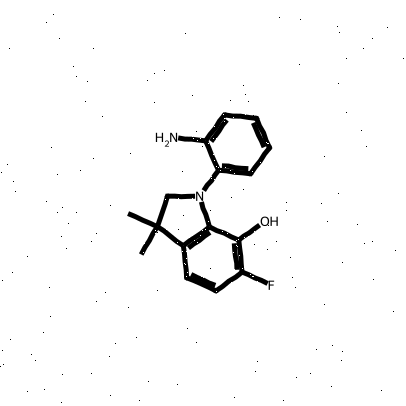 CC1(C)CN(c2ccccc2N)c2c1ccc(F)c2O